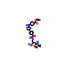 CC(CCNC(=O)c1ccc(-c2csc(NC3CCN(C(=O)OC(C)(C)C)CC3)n2)cc1)CC(=O)NC1(C#N)CC1